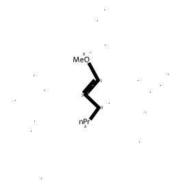 [CH2]OC=CCCCC